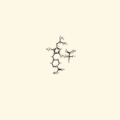 Cc1nn(C[C@@H](C)N)c(C)c1CC1CCN(C(=O)C(C)(C)C)CC1.O=C(O)C(F)(F)F